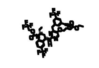 CCOC(=O)CCCOc1cnc(N[C@H]2C[C@@H](CC)N(C(=O)OCC(F)(F)F)c3ccc(C(F)(F)F)cc32)nc1Cc1cc(C#N)cc(C(F)(F)F)c1